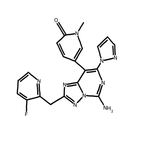 Cn1cc(-c2c(-n3cccn3)nc(N)n3nc(Cc4ncccc4F)nc23)ccc1=O